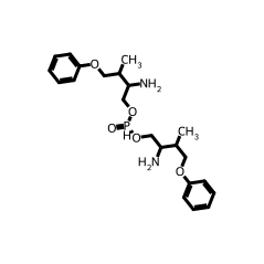 CC(COc1ccccc1)C(N)CO[PH](=O)OCC(N)C(C)COc1ccccc1